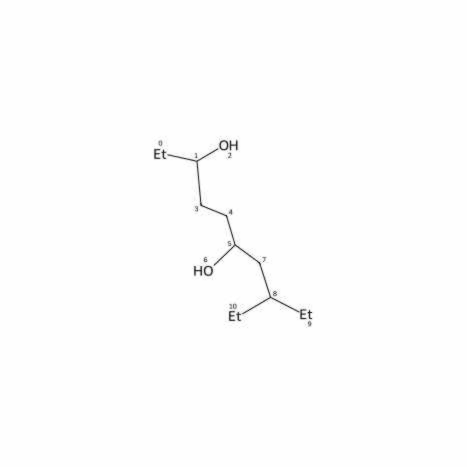 CCC(O)CCC(O)CC(CC)CC